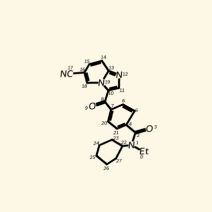 CCN(C(=O)c1ccc(C(=O)c2cnc3ccc(C#N)cn23)cc1)C1CCCCC1